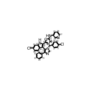 Clc1ccc(Cn2cnc(-c3ccccc3)c2-c2c(-c3nnc(Nc4cccnc4)o3)[nH]c3cc(Cl)ccc23)cc1